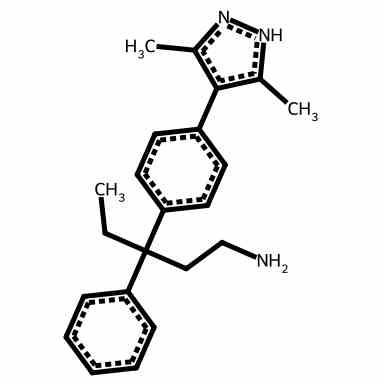 CCC(CCN)(c1ccccc1)c1ccc(-c2c(C)n[nH]c2C)cc1